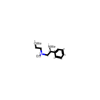 CCN(CCOC)C[C@@H](NC)c1ccccc1